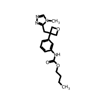 CCCCOC(=O)Nc1cccc(C2(Cc3nncn3C)COC2)c1